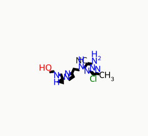 Cc1nn2c(N)c(C#N)c(NCCc3ccn(C4(CNCCO)CC4)n3)nc2c1Cl